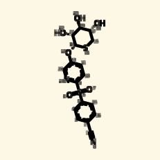 N#Cc1ccc(S(=O)(=O)c2ccc(O[C@H]3SC[C@@H](O)[C@H](O)[C@H]3O)cn2)cc1